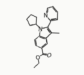 CCOC(=O)c1ccc2c(c1)c(C)c(-c1ccccn1)n2C1CCCC1